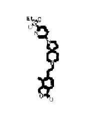 CCS(=O)(=O)c1ccc(N2CCC3(CCN(CCc4ccc5c(c4C)COC5=O)CC3)C2)cn1